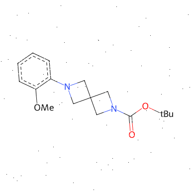 COc1ccccc1N1CC2(CN(C(=O)OC(C)(C)C)C2)C1